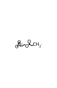 [CH2]CC(=O)OCC[N+](=O)[O-]